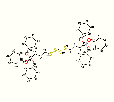 C1CCC(O[Si](CCCSSSSCCC[Si](OC2CCCCC2)(OC2CCCCC2)OC2CCCCC2)(OC2CCCCC2)OC2CCCCC2)CC1